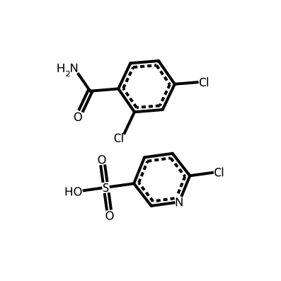 NC(=O)c1ccc(Cl)cc1Cl.O=S(=O)(O)c1ccc(Cl)nc1